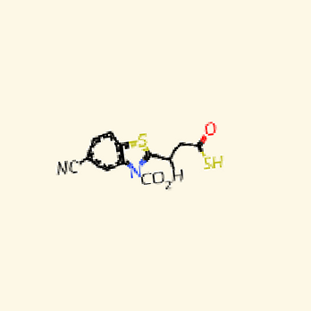 N#Cc1ccc2sc(C(CC(=O)S)C(=O)O)nc2c1